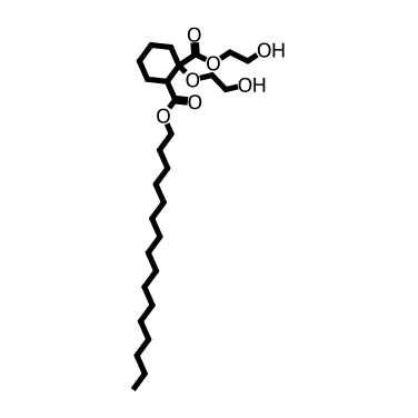 CCCCCCCCCCCCCCCCOC(=O)C1CCCCC1(OCCO)C(=O)OCCO